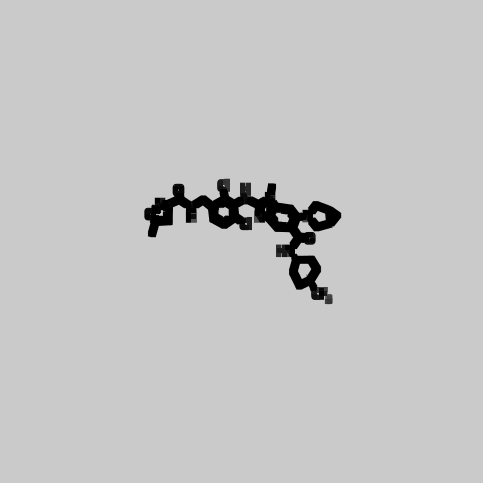 Cc1cc(C(=O)NCc2ccc(Cl)c(Nc3nc4cc(C(=O)N[C@H]5CC[C@H](C(F)(F)F)CC5)c(N5CC6CC6C5)cc4n3C)c2Cl)no1